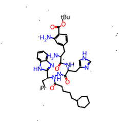 CC(C)C[C@@H](c1nc2ccccc2[nH]1)N(NC(=O)C(Cc1c[nH]cn1)NC(=O)C(N)Cc1ccc(C(=O)OC(C)(C)C)c(N)c1)C(=O)CCCCC1CCCCC1